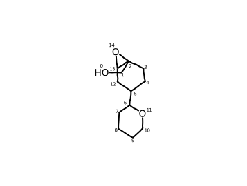 OCC12CCC(C3CCCCO3)CC1O2